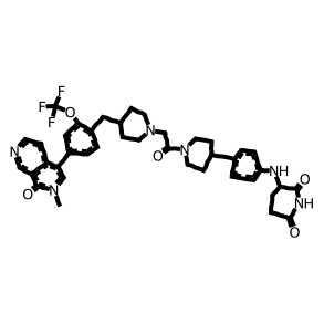 Cn1cc(-c2ccc(CC3CCN(CC(=O)N4CCC(c5ccc(NC6CCC(=O)NC6=O)cc5)CC4)CC3)c(OC(F)(F)F)c2)c2ccncc2c1=O